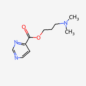 CN(C)CCCOC(=O)c1ccncn1